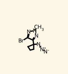 Cn1nc(Br)c(C2(N=[N+]=[N-])CCC2)n1